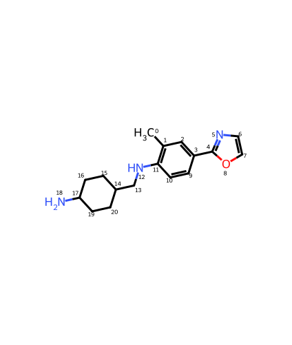 Cc1cc(-c2ncco2)ccc1NCC1CCC(N)CC1